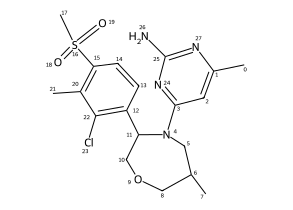 Cc1cc(N2CC(C)COCC2c2ccc(S(C)(=O)=O)c(C)c2Cl)nc(N)n1